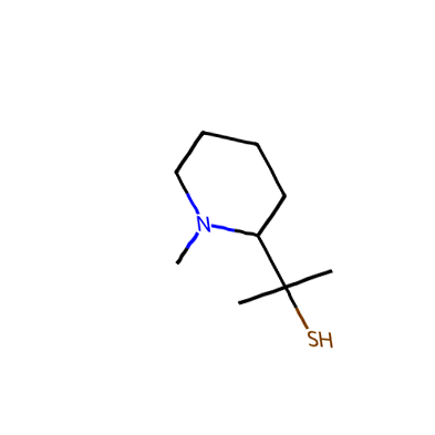 CN1CCCCC1C(C)(C)S